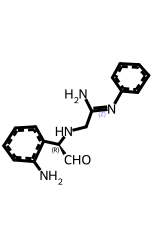 N/C(CN[C@@H](C=O)c1ccccc1N)=N\c1ccccc1